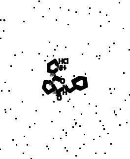 Cl.O=C(NCc1ccccc1)[C@@H]1CCCN1C(=O)[C@@H]1CCCN1